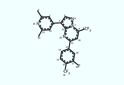 Cc1cc(-c2cnn3c(C(F)(F)F)cc(-c4ccc(C(F)(F)F)c(F)c4)nc23)cc(C)n1